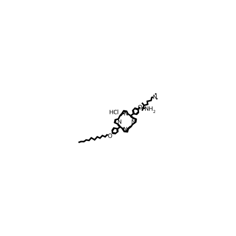 CCCCCCCCCCCCOc1ccc(C2=C3C=CC(=N3)C=C3C=CC(=N3)C(c3ccc(OC(C)(N)C(C)CCCCN(C)C)cc3)=C3C=CC(=N3)C=C3C=CC2=N3)cc1.Cl